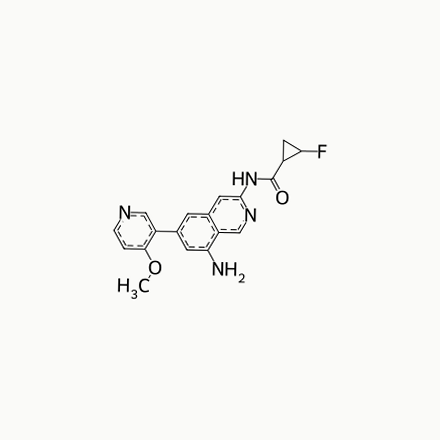 COc1ccncc1-c1cc(N)c2cnc(NC(=O)C3CC3F)cc2c1